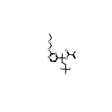 C=C(C)C(=O)OC(C)(CCC(F)(F)F)c1ccnc(OCOCC)n1